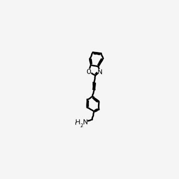 NCc1ccc(C#Cc2nc3ccccc3o2)cc1